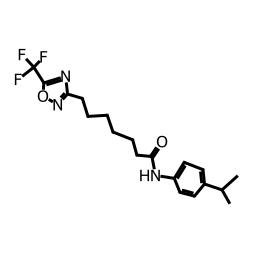 CC(C)c1ccc(NC(=O)CCCCCCc2noc(C(F)(F)F)n2)cc1